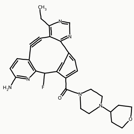 CCc1ncnc2c1C#Cc1ccc(N)nc1C(F)c1cc-2ccc1C(=O)N1CCN(C2CCOCC2)CC1